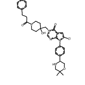 CC1(C)CNC(c2ccc(-n3c(Cl)cc4c(=O)n(CC5(O)CCN(C(=O)CCc6ccccc6)CC5)cnc43)cc2)CO1